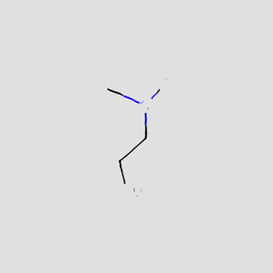 CSCCN(C)C(C)=O